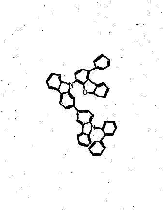 C1=CCC2Oc3c(-n4c5ccccc5c5ccc(-c6ccc7c(c6)c6ccccc6n7-c6ccccc6-c6ccccc6)cc54)ccc(-c4ccccc4)c3C2=C1